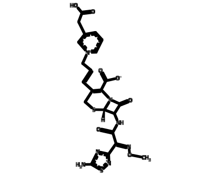 CON=C(C(=O)NC1C(=O)N2C(C(=O)[O-])=C(C=CC[n+]3cccc(CC(=O)O)c3)CS[C@@H]12)c1nsc(N)n1